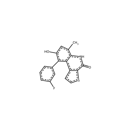 Cc1cc(O)c(-c2cccc(F)c2)c2c1[nH]c(=O)c1sccc12